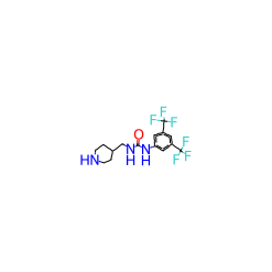 O=C(NCC1CCNCC1)Nc1cc(C(F)(F)F)cc(C(F)(F)F)c1